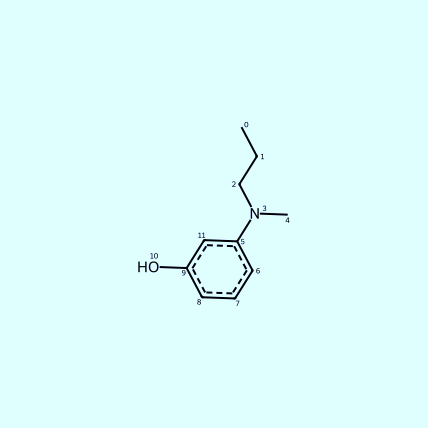 CCCN(C)c1cccc(O)c1